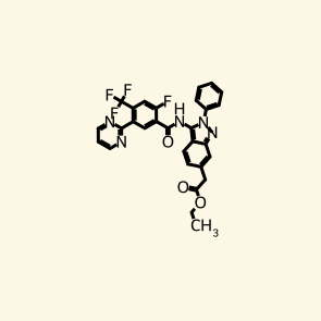 CCOC(=O)Cc1ccc2c(NC(=O)c3cc(-c4ncccn4)c(C(F)(F)F)cc3F)n(-c3ccccc3)nc2c1